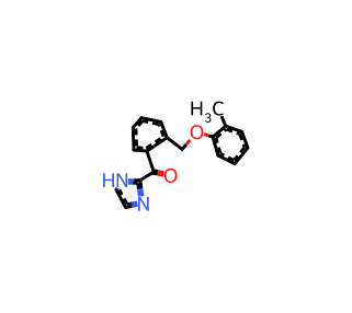 Cc1ccccc1OCc1ccccc1C(=O)c1ncc[nH]1